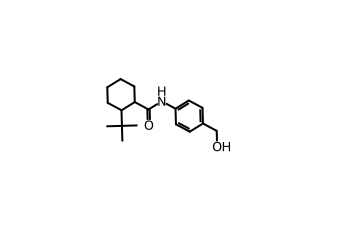 CC(C)(C)C1CCCCC1C(=O)Nc1ccc(CO)cc1